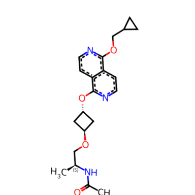 CC(=O)N[C@@H](C)CO[C@H]1C[C@H](Oc2nccc3c(OCC4CC4)nccc23)C1